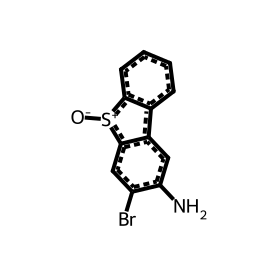 Nc1cc2c3ccccc3[s+]([O-])c2cc1Br